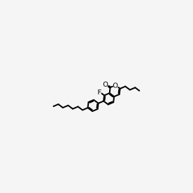 CCCCCCCc1ccc(-c2ccc3cc(CCCC)oc(=O)c3c2F)cc1